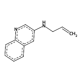 C=CCNc1cnc2ccccc2c1